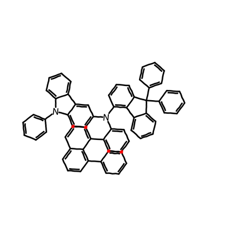 c1ccc(-c2cccc3cccc(-c4ccccc4N(c4ccc5c(c4)c4ccccc4n5-c4ccccc4)c4cccc5c4-c4ccccc4C5(c4ccccc4)c4ccccc4)c23)cc1